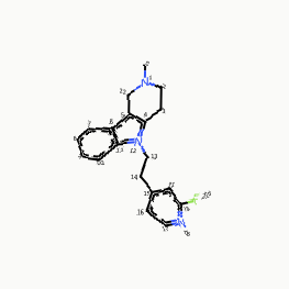 CN1CCc2c(c3ccccc3n2CCc2ccnc(F)c2)C1